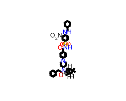 C[C@H]1[C@@H](N(C(=O)Cc2ccccc2)C2CCN(c3ccc(C(=O)NS(=O)(=O)c4ccc(NCC5CCCCC5)c([N+](=O)[O-])c4)cc3)CC2)C[C@@H]2C[C@@H]1C2(C)C